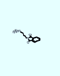 C[CH]CCCCCCCCCCCCN1C(=O)c2ccccc2C1=O